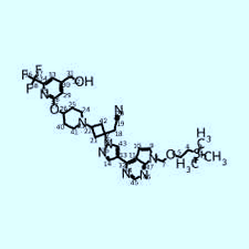 C[Si](C)(C)CCOCn1ccc2c(-c3cnn(C4(CC#N)CC(N5CCC(Oc6cc(CO)cc(C(F)(F)F)n6)CC5)C4)c3)ncnc21